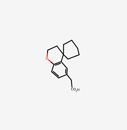 O=C(O)Cc1ccc2c(c1)C1(CCCCC1)CCO2